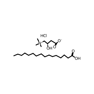 CCCCCCCCCCCCCCCC(=O)O.C[N+](C)(C)C[C@H](O)CC(=O)[O-].Cl